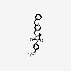 O=C1N(c2ccc(SC(F)(F)F)cc2)C(=O)C2(CC2)N1Cc1ccnc(Cc2ccccc2)c1